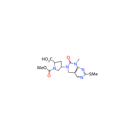 COC(=O)N1CC(N2Cc3cnc(SC)nc3N(C)C2=O)CC1C(=O)O